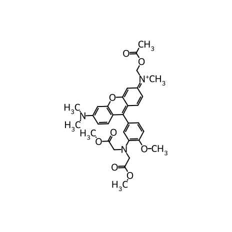 COC(=O)CN(CC(=O)OC)c1cc(-c2c3ccc(=[N+](C)COC(C)=O)cc-3oc3cc(N(C)C)ccc23)ccc1OC